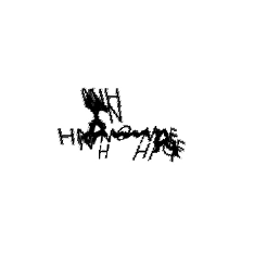 N#Cc1[nH]ncc1-c1cc(NCCOCCCCNCc2cc(F)c(OC(F)(F)F)c(F)c2)c2cn[nH]c2c1